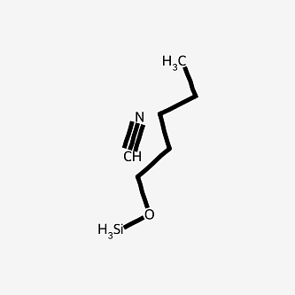 C#N.CCCCCO[SiH3]